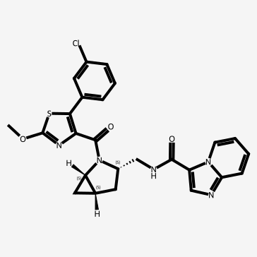 COc1nc(C(=O)N2[C@H](CNC(=O)c3cnc4ccccn34)C[C@@H]3C[C@@H]32)c(-c2cccc(Cl)c2)s1